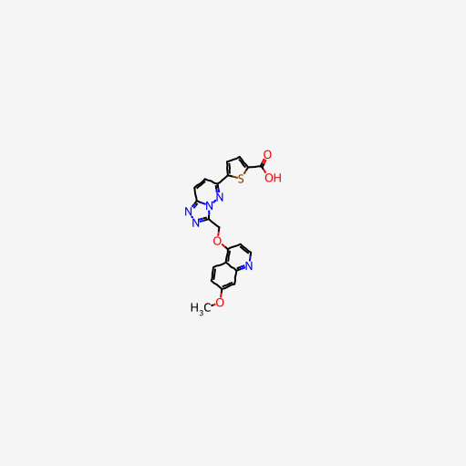 COc1ccc2c(OCc3nnc4ccc(-c5ccc(C(=O)O)s5)nn34)ccnc2c1